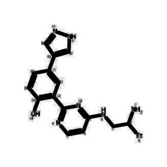 CCC(N)CNc1ccnc(-c2cc(-c3cn[nH]c3)ccc2O)n1